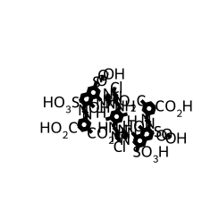 Cc1cc(Nc2nc(Cl)nc(Nc3cc(SOOO)cc4cc(S(=O)(=O)O)c(N=Nc5cc(C(=O)O)cc(C(=O)O)c5)c(O)c34)n2)c(C)cc1Nc1nc(Cl)nc(Nc2cc(S(=O)(=O)O)cc3cc(SOOO)c(N=Nc4cc(C(=O)O)cc(C(=O)O)c4)c(O)c23)n1